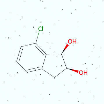 O[C@@H]1c2c(Cl)cccc2C[C@@H]1O